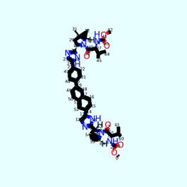 COC(=O)N[C@H](C(=O)N1[C@H](c2ncc(-c3ccc4cc(-c5ccc(-c6cnc([C@@H]7C[C@]8(C)C[C@@H]8N7C(=O)[C@@H](NC(=O)OC)C(C)C)[nH]6)cc5)ccc4c3)[nH]2)C2C3[C@H]1[C@]23C)C(C)C